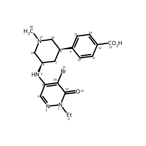 CCn1ncc(N[C@@H]2C[C@H](c3ccc(C(=O)O)cc3)CN(C)C2)c(Br)c1=O